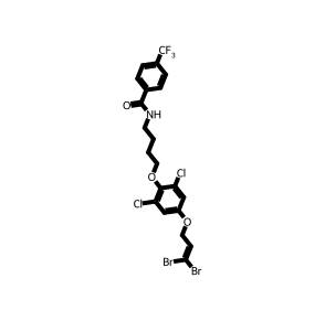 O=C(NCCCCOc1c(Cl)cc(OCC=C(Br)Br)cc1Cl)c1ccc(C(F)(F)F)cc1